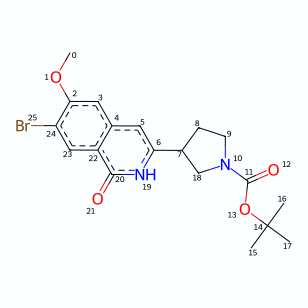 COc1cc2cc(C3CCN(C(=O)OC(C)(C)C)C3)[nH]c(=O)c2cc1Br